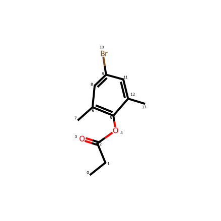 CCC(=O)Oc1c(C)cc(Br)cc1C